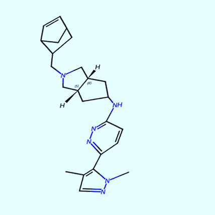 Cc1cnn(C)c1-c1ccc(NC2C[C@@H]3CN(CC4CC5C=CC4C5)C[C@@H]3C2)nn1